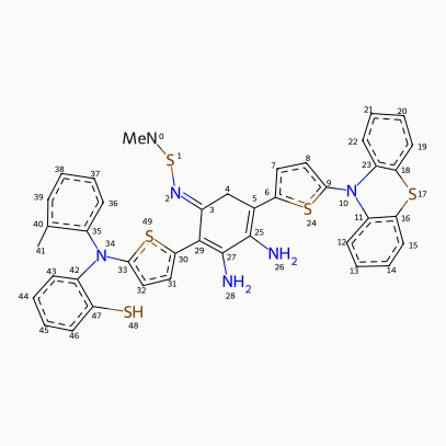 CNS/N=C1\CC(c2ccc(N3c4ccccc4Sc4ccccc43)s2)=C(N)C(N)=C1c1ccc(N(c2ccccc2C)c2ccccc2S)s1